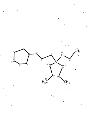 CCO[Si]([CH]CCN1CCOCC1)(OCC)OCC